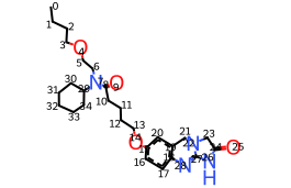 CCCCOCCN(C(=O)CCCCOc1ccc2c(c1)CN1CC(=O)NC1=N2)C1CCCCC1